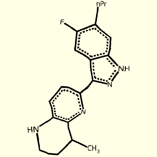 CCCc1cc2[nH]nc(-c3ccc4c(n3)C(C)CCN4)c2cc1F